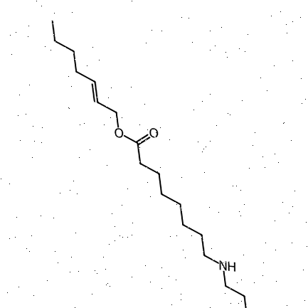 CCCC/C=C/COC(=O)CCCCCCCNCCO